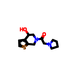 O=C(CN1CCCC1)N1Cc2sccc2C(O)C1